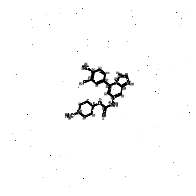 CN1CCC(OC(=O)Nc2cc(-c3ccc(C#N)c(F)c3)n3ncnc3c2)CC1